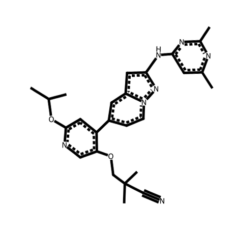 Cc1cc(Nc2cc3cc(-c4cc(OC(C)C)ncc4OCC(C)(C)C#N)ccn3n2)nc(C)n1